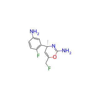 C[C@@]1(c2cc(N)ccc2F)C=C(CF)OC(N)=N1